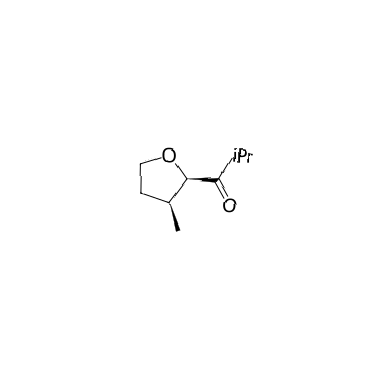 CC(C)C(=O)[C@@H]1OCC[C@@H]1C